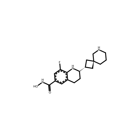 O=C(NO)c1cc(F)c2c(c1)CCC([C@H]1C[C@@]3(CCCNC3)C1)N2